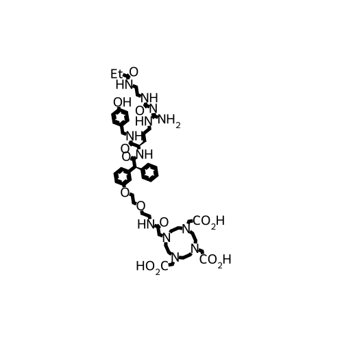 CCC(=O)NCCNC(=O)/N=C(/N)NCCC[C@@H](NC(=O)[C@@H](c1ccccc1)c1cccc(OCCOCCNC(=O)CN2CCN(CC(=O)O)CCN(CC(=O)O)CCN(CC(=O)O)CC2)c1)C(=O)NCc1ccc(O)cc1